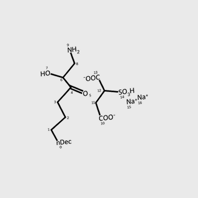 CCCCCCCCCCCCCC(=O)C(O)CN.O=C([O-])CC(C(=O)[O-])S(=O)(=O)O.[Na+].[Na+]